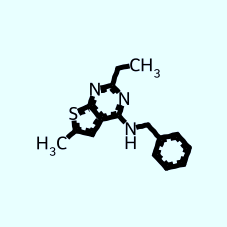 CCc1nc(NCc2ccccc2)c2cc(C)sc2n1